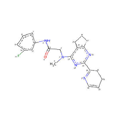 CN(CC(=O)Nc1cccc(F)c1)c1nc(C2=NC=CCC2)nc2c1CCC2